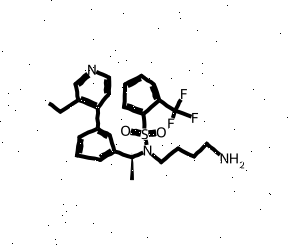 CCc1cnccc1-c1cccc([C@H](C)N(CCCCN)S(=O)(=O)c2ccccc2C(F)(F)F)c1